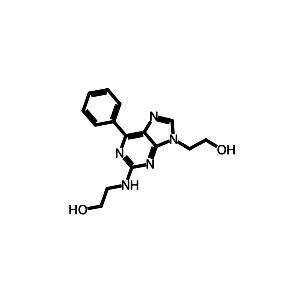 OCCNc1nc(-c2ccccc2)c2ncn(CCO)c2n1